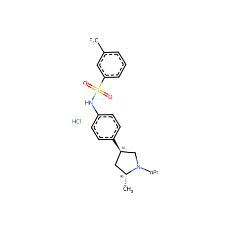 CCCN1C[C@H](c2ccc(NS(=O)(=O)c3cccc(C(F)(F)F)c3)cc2)C[C@H]1C.Cl